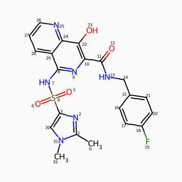 Cc1nc(S(=O)(=O)Nc2nc(C(=O)NCc3ccc(F)cc3)c(O)c3ncccc23)cn1C